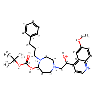 COc1ccc2nccc(C(O)CN3CCC(OC(=O)OC(C)(C)C)N(CCCc4ccccc4)CC3)c2c1